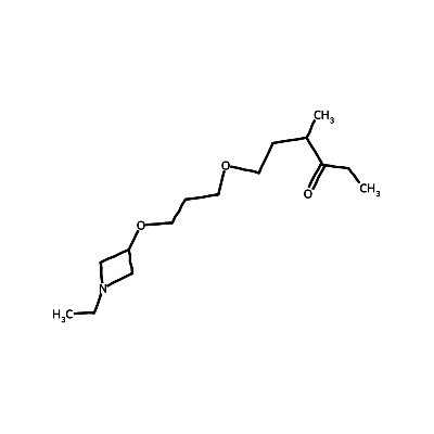 CCC(=O)C(C)CCOCCCOC1CN(CC)C1